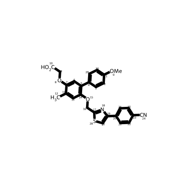 COc1ccc(-c2cc(OCC(=O)O)c(C)cc2OCc2nc(-c3ccc(C#N)cc3)cs2)cc1